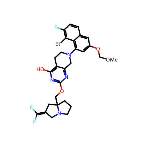 CCc1c(F)ccc2cc(OCOC)cc(N3CCc4c(O)nc(OCC56CCCN5CC(=C(F)F)C6)nc4C3)c12